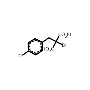 CCOC(=O)C(Br)(Cc1ccc(Cl)cc1)C(=O)OCC